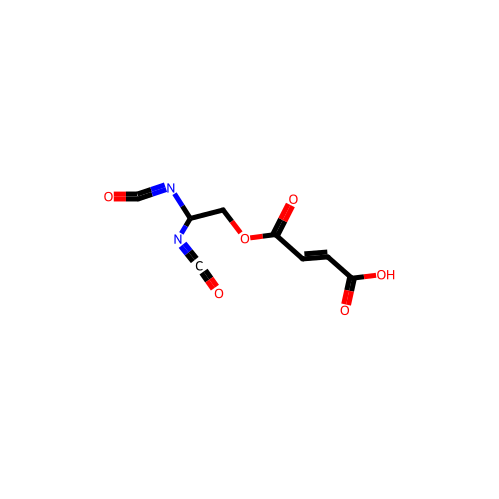 O=C=NC(COC(=O)C=CC(=O)O)N=C=O